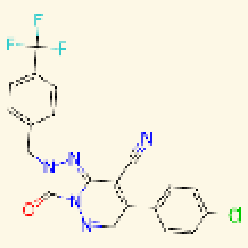 N#Cc1c(-c2ccc(Cl)cc2)cnn2c(=O)n(Cc3ccc(C(F)(F)F)cc3)nc12